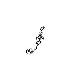 CC(CCCC#Cc1ccc(-c2ncc(OCc3ccccc3)cn2)cc1)OC1CCCCO1